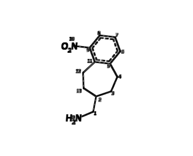 NCC1CCc2cccc([N+](=O)[O-])c2CC1